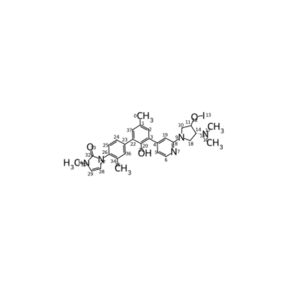 Cc1cc(-c2ccnc(N3CC(OI)[C@H](N(C)C)C3)c2)c(O)c(-c2ccc(-n3ccn(C)c3=O)c(C)c2)c1